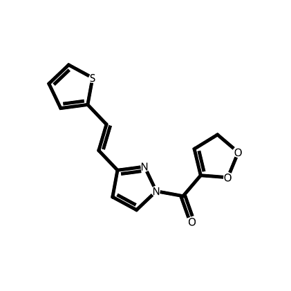 O=C(C1=CCOO1)n1ccc(C=Cc2cccs2)n1